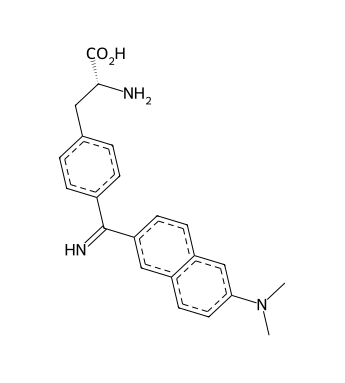 CN(C)c1ccc2cc(C(=N)c3ccc(C[C@@H](N)C(=O)O)cc3)ccc2c1